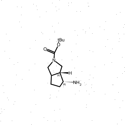 CC(C)(C)OC(=O)N1CC2CC[C@@H](N)[C@H]2C1